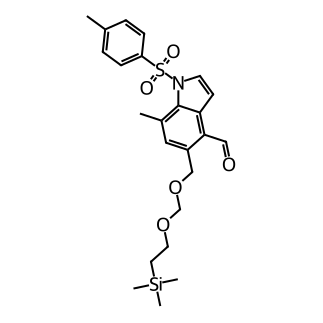 Cc1ccc(S(=O)(=O)n2ccc3c(C=O)c(COCOCC[Si](C)(C)C)cc(C)c32)cc1